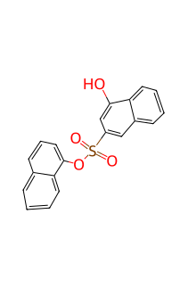 O=S(=O)(Oc1cccc2ccccc12)c1cc(O)c2ccccc2c1